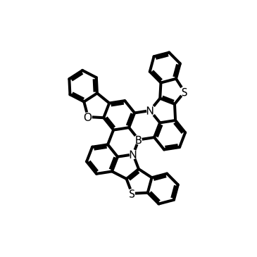 c1ccc2c(c1)oc1c3c4c(cc12)-n1c2c(cccc2c2sc5ccccc5c21)B4n1c2c-3cccc2c2sc3ccccc3c21